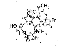 C=C[C@]1(C)CC[C@@](C)(C(C)C)c2cc3c4c(c[nH]c4c21)C[C@@H](CO)NC(=O)[C@H](C(C)C)N3C